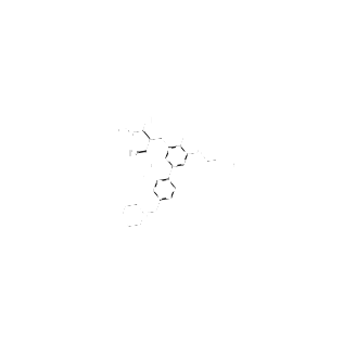 CCNc1cc(-c2ccc(CN3CCOCC3)cc2)cc(C/C(C(=N)OC)=C(\C)NC)c1C